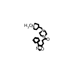 CN1CCC(CN2CCN(C(=O)CCc3ocnc3-c3ccccc3)CC2)CC1